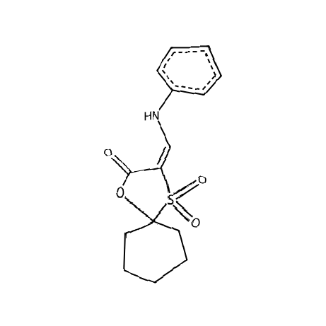 O=C1OC2(CCCCC2)S(=O)(=O)/C1=C/Nc1ccccc1